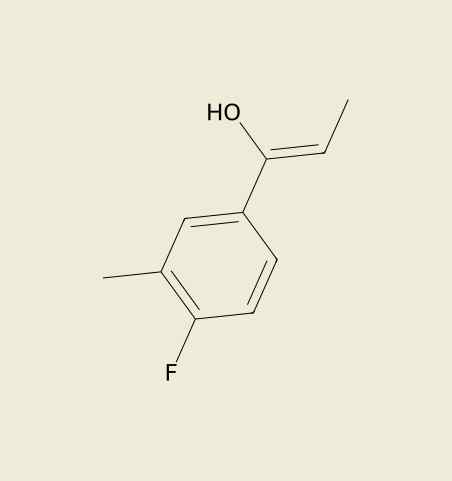 CC=C(O)c1ccc(F)c(C)c1